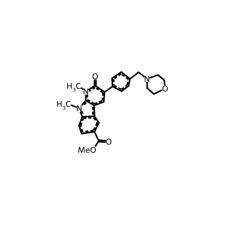 COC(=O)c1ccc2c(c1)c1cc(-c3ccc(CN4CCOCC4)cc3)c(=O)n(C)c1n2C